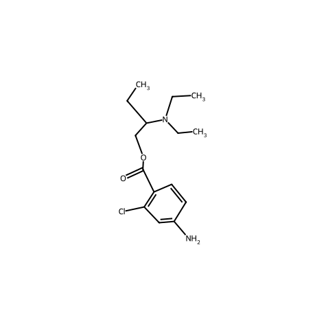 CCC(COC(=O)c1ccc(N)cc1Cl)N(CC)CC